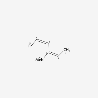 C/C=C(\C=C/C(C)C)NC